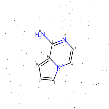 Nc1nccn2cccc12